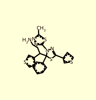 Cc1nnc(N2N=C(c3ccsc3)SC2(c2ccccc2)C(CCN)c2ccsc2)s1